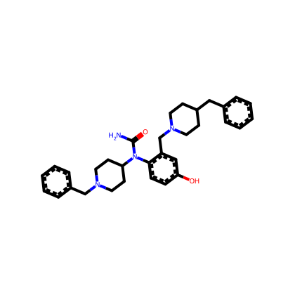 NC(=O)N(c1ccc(O)cc1CN1CCC(Cc2ccccc2)CC1)C1CCN(Cc2ccccc2)CC1